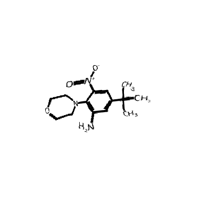 CC(C)(C)c1cc(N)c(N2CCOCC2)c([N+](=O)[O-])c1